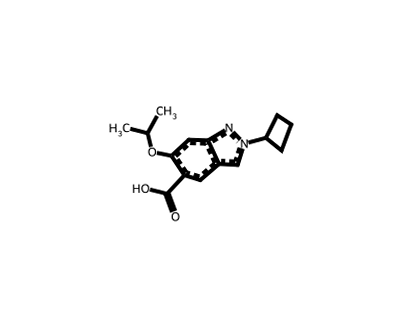 CC(C)Oc1cc2nn(C3CCC3)cc2cc1C(=O)O